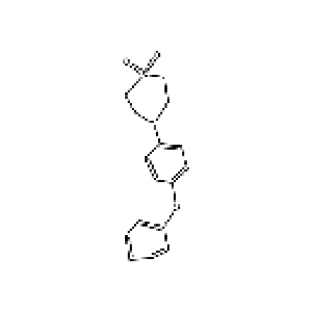 O=S1(=O)CCN(c2ccc(Oc3ccccc3)cc2)CC1